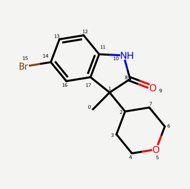 CC1(C2CCOCC2)C(=O)Nc2ccc(Br)cc21